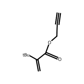 C#CCOC(=O)C(=C)C(C)(C)C